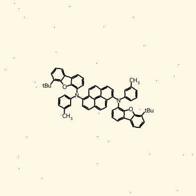 Cc1cccc(N(c2ccc3ccc4c(N(c5cccc(C)c5)c5cccc6c5oc5c(C(C)(C)C)cccc56)ccc5ccc2c3c54)c2cccc3c2oc2c(C(C)(C)C)cccc23)c1